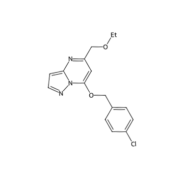 CCOCc1cc(OCc2ccc(Cl)cc2)n2nccc2n1